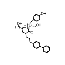 O=C(CC(CCCc1ccc(-c2ccccc2)cc1)C(=O)N[C@@H](CO)Cc1ccc(O)cc1)NO